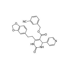 N#Cc1cccc(COC(=O)C2=C(CCc3ccc4c(c3)OCO4)NC(=O)NC2c2ccncc2)c1